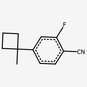 CC1(c2ccc(C#N)c(F)c2)CCC1